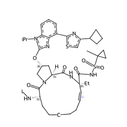 CC[C@]1(C(=O)NS(=O)(=O)C2(C)CC2)/C=C\CCCCC[C@H](NI)C(=O)N2C[C@H](Oc3nc4c(-c5nc(C6CCC6)cs5)cccc4n3C(C)C)C[C@H]2C(=O)N1